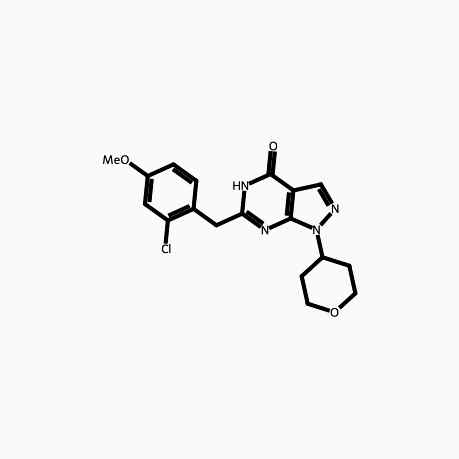 COc1ccc(Cc2nc3c(cnn3C3CCOCC3)c(=O)[nH]2)c(Cl)c1